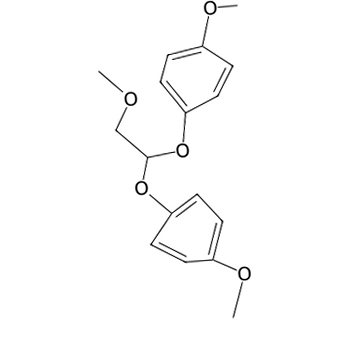 COCC(Oc1ccc(OC)cc1)Oc1ccc(OC)cc1